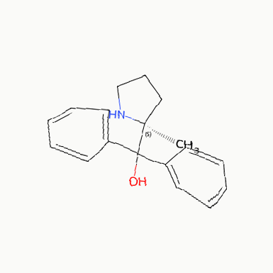 C[C@@]1(C(O)(c2ccccc2)c2ccccc2)CCCN1